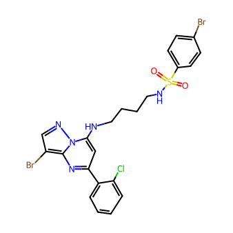 O=S(=O)(NCCCCNc1cc(-c2ccccc2Cl)nc2c(Br)cnn12)c1ccc(Br)cc1